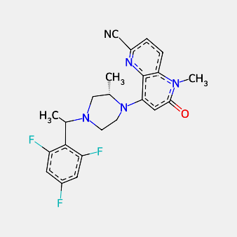 CC(c1c(F)cc(F)cc1F)N1CCN(c2cc(=O)n(C)c3ccc(C#N)nc23)[C@@H](C)C1